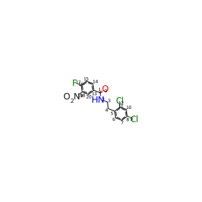 O=C(NCCc1ccc(Cl)cc1Cl)c1ccc(F)c([N+](=O)[O-])c1